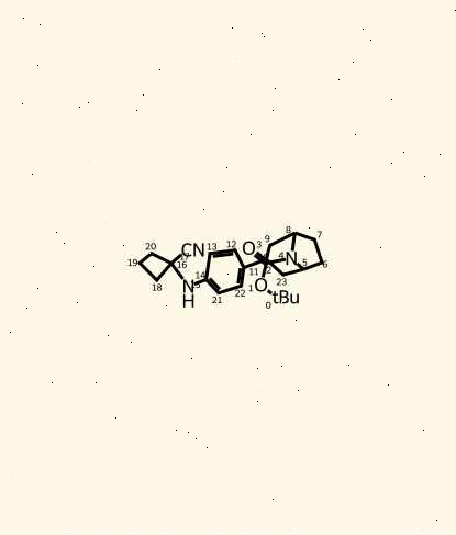 CC(C)(C)OC(=O)N1C2CCC1CC(c1ccc(NC3(C#N)CCC3)cc1)C2